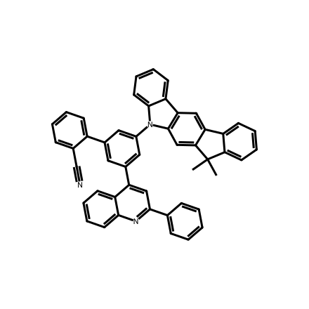 CC1(C)c2ccccc2-c2cc3c4ccccc4n(-c4cc(-c5ccccc5C#N)cc(-c5cc(-c6ccccc6)nc6ccccc56)c4)c3cc21